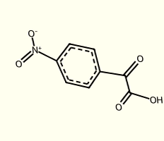 O=C(O)C(=O)c1ccc([N+](=O)[O-])cc1